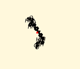 COC(=O)N[C@H](C(=O)N1CCCC1c1ncc(-c2ccc(C34CC(c5ccc(-c6cnc([C@@H]7CCCN7C(=O)[C@@H](NC(=O)OC)C(C)C)[nH]6)cc5)(C3)C4)cc2)[nH]1)C(C)C